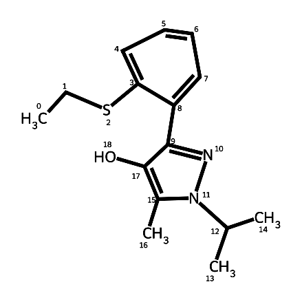 CCSc1ccccc1-c1nn(C(C)C)c(C)c1O